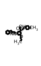 CCCOc1cc(OCc2cc3ccccc3[nH]2)cc(N(CCN2CCN(C)CC2)C(=O)O)c1